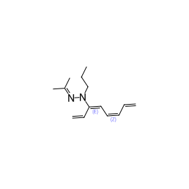 C=C/C=C\C=C(/C=C)N(CCC)N=C(C)C